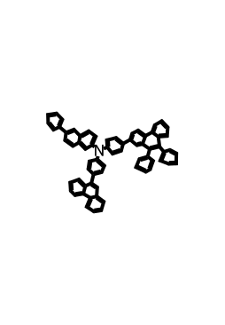 c1ccc(-c2ccc3cc(N(c4ccc(-c5ccc6c(c5)c(-c5ccccc5)c(-c5ccccc5)c5ccccc56)cc4)c4ccc(-c5cc6ccccc6c6ccccc56)cc4)ccc3c2)cc1